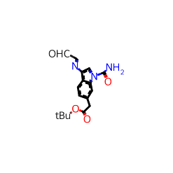 CC(C)(C)OC(=O)Cc1ccc2c(N=CC=O)cn(C(N)=O)c2c1